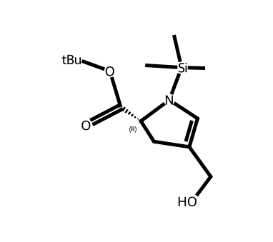 CC(C)(C)OC(=O)[C@H]1CC(CO)=CN1[Si](C)(C)C